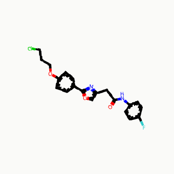 O=C(Cc1coc(-c2ccc(OCCCCl)cc2)n1)Nc1ccc(F)cc1